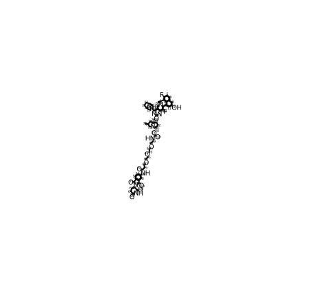 C#Cc1c(F)ccc2cc(O)cc(-c3ncc4c(N5CC6CCC(C5)N6)nc(OC[C@]56CC[C@H](COC(=O)NCCOCCOCCOCCC(=O)Nc7ccc8c(c7)C(=O)N(C7CCC(=O)NC7=O)C8=O)N5CC(=C)C6)nc4c3F)c12